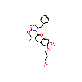 COCCCOc1cc(CC(C(=O)N2C(=O)OCC2Cc2ccccc2)C(C)C)ccc1OC